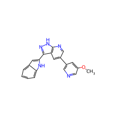 COc1cncc(-c2cnc3[nH]nc(-c4cc5ccccc5[nH]4)c3c2)c1